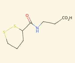 O=C(O)CCNC(=O)C1CCCSS1